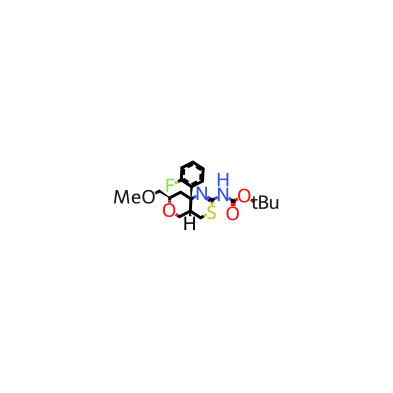 COC[C@H]1C[C@]2(c3ccccc3F)N=C(NC(=O)OC(C)(C)C)SC[C@@H]2CO1